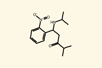 CC(C)NC(CC(=O)C(C)C)c1ccccc1[N+](=O)[O-]